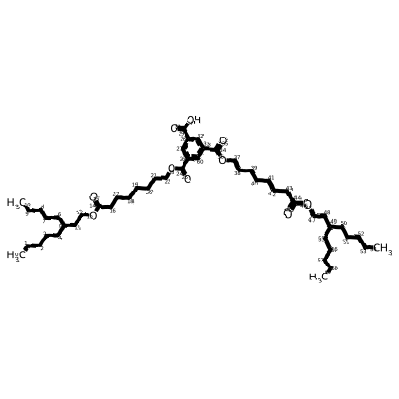 CCCCCC(CCCCC)CCOC(=O)CCCCCCCOC(=O)c1cc(C(=O)O)cc(C(=O)OCCCCCCCC(=O)OCCC(CCCCC)CCCCC)c1